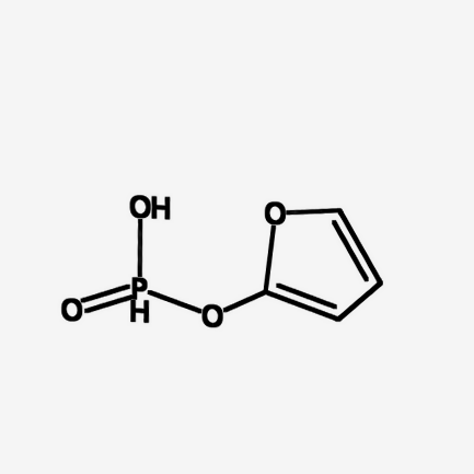 O=[PH](O)Oc1ccco1